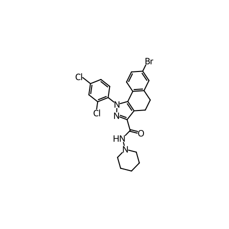 O=C(NN1CCCCC1)c1nn(-c2ccc(Cl)cc2Cl)c2c1CCc1cc(Br)ccc1-2